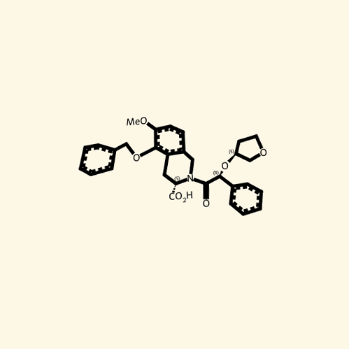 COc1ccc2c(c1OCc1ccccc1)C[C@@H](C(=O)O)N(C(=O)[C@H](O[C@H]1CCOC1)c1ccccc1)C2